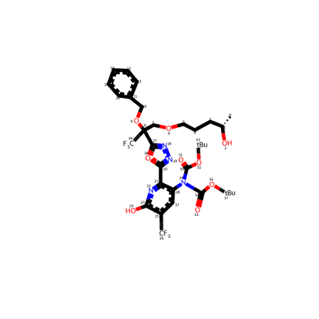 C[C@H](O)CCCOCC(OCc1ccccc1)(c1nnc(-c2nc(O)c(C(F)(F)F)cc2N(C(=O)OC(C)(C)C)C(=O)OC(C)(C)C)o1)C(F)(F)F